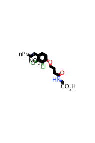 CCC/C(=C/c1ccc(OCCCC(=O)NCC(=O)O)c(Cl)c1Cl)[N+](=O)[O-]